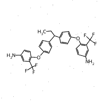 CCC(c1ccc(Oc2ccc(N)cc2C(F)(F)F)cc1)c1ccc(Oc2ccc(N)cc2C(F)(F)F)cc1